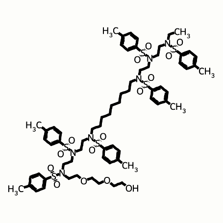 CCN(CCN(CCN(CCCCCCCCCN(CCN(CCN(CCOCCOCCO)S(=O)(=O)c1ccc(C)cc1)S(=O)(=O)c1ccc(C)cc1)S(=O)(=O)c1ccc(C)cc1)S(=O)(=O)c1ccc(C)cc1)S(=O)(=O)c1ccc(C)cc1)S(=O)(=O)c1ccc(C)cc1